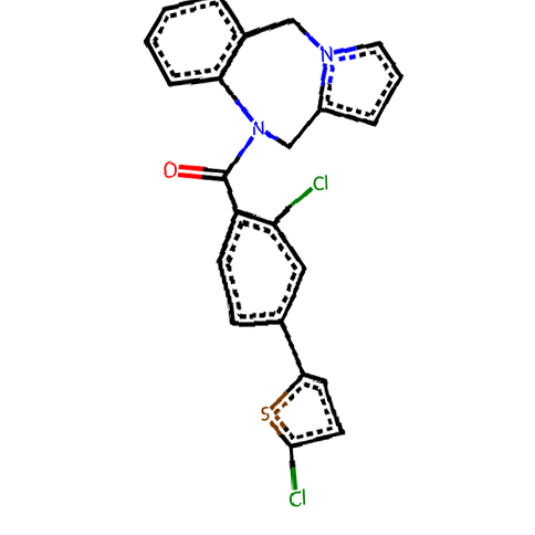 O=C(c1ccc(-c2ccc(Cl)s2)cc1Cl)N1Cc2cccn2Cc2ccccc21